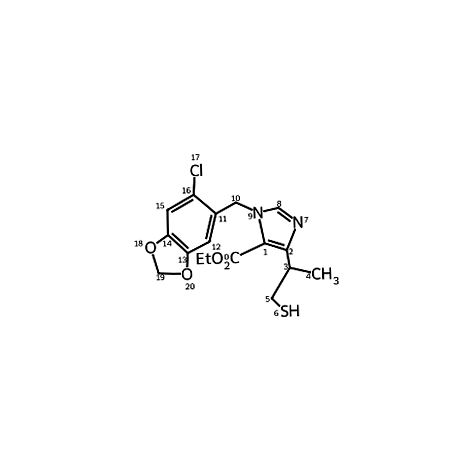 CCOC(=O)c1c(C(C)CS)ncn1Cc1cc2c(cc1Cl)OCO2